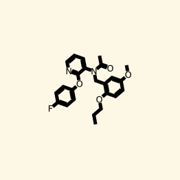 CCCOc1ccc(OC)cc1CN(C(C)=O)c1cccnc1Oc1ccc(F)cc1